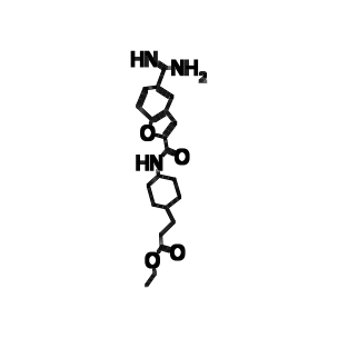 CCOC(=O)CCC1CCC(NC(=O)c2cc3cc(C(=N)N)ccc3o2)CC1